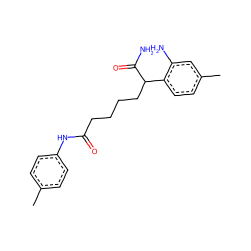 Cc1ccc(NC(=O)CCCCC(C(N)=O)c2ccc(C)cc2N)cc1